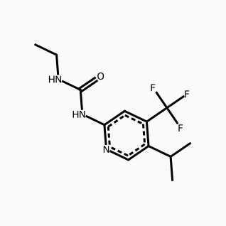 CCNC(=O)Nc1cc(C(F)(F)F)c(C(C)C)cn1